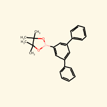 CC1(C)OB(c2cc(-c3ccccc3)cc(-c3ccccc3)c2)OC1(C)C